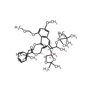 COCOc1cc(OC)cc(/C=C/C[C@@H]2OC(C)(C)O[C@@H]2C(/C=C\[C@H](C)C(C)O[Si](C)(C)C(C)(C)C)OC(=O)c2ccccc2)c1C(=O)OCC[Si](C)(C)C